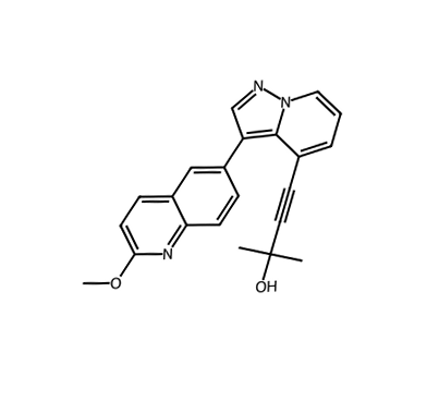 COc1ccc2cc(-c3cnn4cccc(C#CC(C)(C)O)c34)ccc2n1